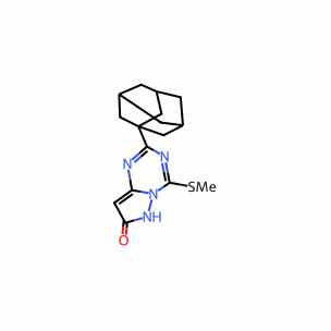 CSc1nc(C23CC4CC(CC(C4)C2)C3)nc2cc(=O)[nH]n12